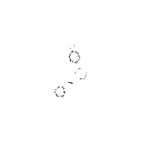 CC(=O)Nc1ccc([C@H]2CN(C=Cc3ccccc3)CCO2)cc1